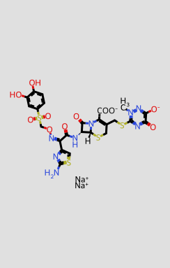 Cn1nc([O-])c(=O)nc1SCC1=C(C(=O)[O-])N2C(=O)[C@@H](NC(=O)/C(=N\OCS(=O)(=O)c3ccc(O)c(O)c3)c3csc(N)n3)[C@H]2SC1.[Na+].[Na+]